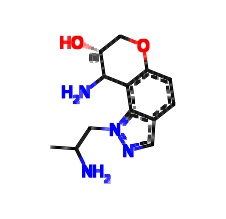 CC(N)Cn1ncc2ccc3c(c21)C(N)[C@H](O)CO3